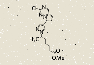 COC(=O)CCCCC(C)n1cc(-c2ccc3cnc(Cl)nn23)cn1